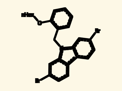 CCCCCCOc1ccccc1Cn1c2cc(Br)ccc2c2ccc(Br)cc21